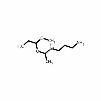 CCC(OC)OC(C)[SiH2]CCCN